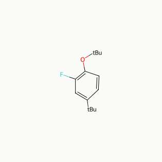 CC(C)(C)Oc1ccc(C(C)(C)C)cc1F